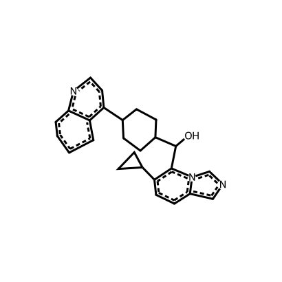 OC(c1c(C2CC2)ccc2cncn12)C1CCC(c2ccnc3ccccc23)CC1